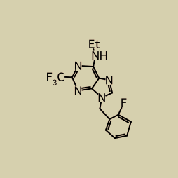 CCNc1nc(C(F)(F)F)nc2c1ncn2Cc1ccccc1F